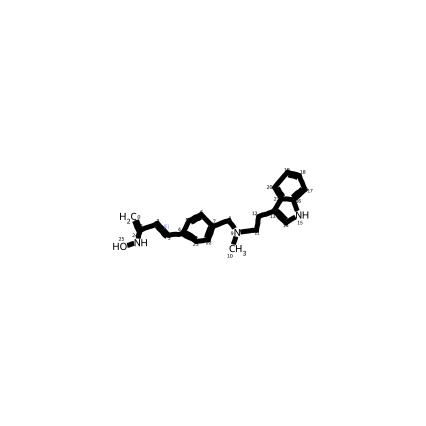 C=C(/C=C/c1ccc(CN(C)CCc2c[nH]c3ccccc23)cc1)NO